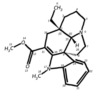 CC[C@]12CCCN3CC[C@]4(C(=C(C(=O)OC)C1)N(C)c1ccccc14)[C@@H]32